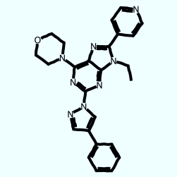 CCn1c(-c2ccncc2)nc2c(N3CCOCC3)nc(-n3cc(-c4ccccc4)cn3)nc21